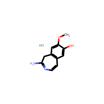 COc1cc2c(cc1O)C=CN=C(N)C2.Cl